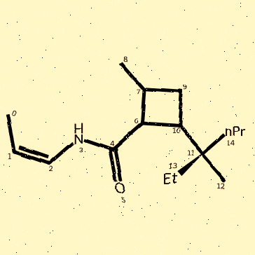 C/C=C\NC(=O)C1C(C)CC1[C@](C)(CC)CCC